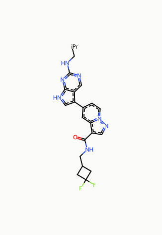 CC(C)CNc1ncc2c(-c3ccn4ncc(C(=O)NCC5CC(F)(F)C5)c4c3)c[nH]c2n1